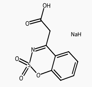 O=C(O)CC1=NS(=O)(=O)Oc2ccccc21.[NaH]